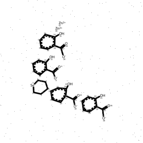 C1CC[Se]CC1.O=C([O-])c1ccccc1O.O=C([O-])c1ccccc1O.O=C([O-])c1ccccc1O.O=C([O-])c1ccccc1O.[Zn+2].[Zn+2]